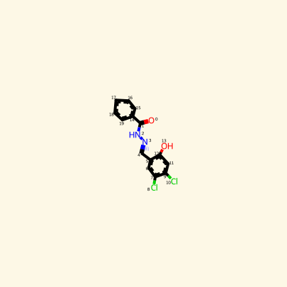 O=C(N/N=C/c1cc(Cl)c(Cl)cc1O)c1ccccc1